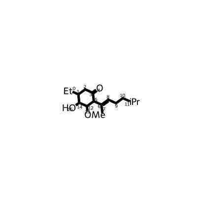 CCC1CC(=O)C(C(C)=CCCC(C)C)C(OC)C1O